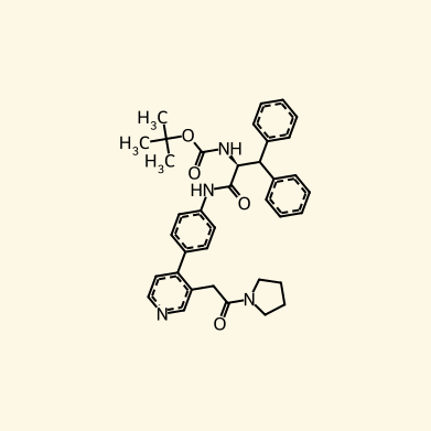 CC(C)(C)OC(=O)N[C@H](C(=O)Nc1ccc(-c2ccncc2CC(=O)N2CCCC2)cc1)C(c1ccccc1)c1ccccc1